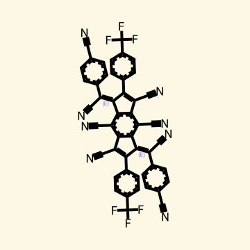 N#CC1=C(c2ccc(C(F)(F)F)cc2)/C(=C(/C#N)c2ccc(C#N)cc2)c2c(C#N)c3c(c(C#N)c21)/C(=C(\C#N)c1ccc(C#N)cc1)C(c1ccc(C(F)(F)F)cc1)=C3C#N